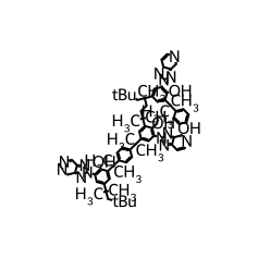 CC(C)(C)CC(C)(C)c1cc(-n2nc3cnncc3n2)c(O)c(C(C)(C)c2ccc(C(C)(C)c3cc(-n4nc5ccnc(O)c5n4)c(O)c(C(C)(C)CCC(C)(CC(C)(C)C)c4cc(-n5nc6ccncc6n5)c(O)c(C(C)(C)c5ccccc5)c4)c3)cc2)c1